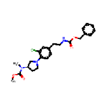 CN(C(=O)OC(C)(C)C)[C@@H]1CCN(c2ccc(CCNC(=O)OCc3ccccc3)cc2Cl)C1